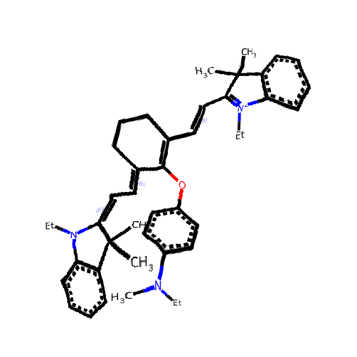 CCN(C)c1ccc(OC2=C(/C=C/C3=[N+](CC)c4ccccc4C3(C)C)CCC/C2=C\C=C2\N(CC)c3ccccc3C2(C)C)cc1